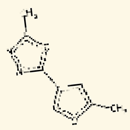 Cc1cc(-c2nnc(C)o2)co1